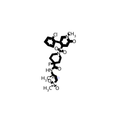 C[C@H](/C=C\S(C)(=O)=O)NC(=O)C1(F)CCN(S(=O)(=O)c2cc(=O)n(C)cc2-c2ccccc2Cl)CC1